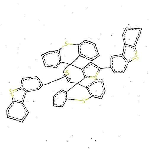 c1ccc2c(c1)Sc1ccccc1C21c2cc(-c3ccc4sc5ccccc5c4c3)sc2C2(c3ccccc3Sc3ccccc32)c2cc(-c3ccc4sc5ccccc5c4c3)sc21